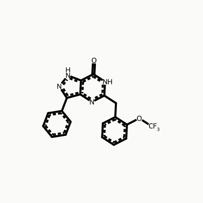 O=c1[nH]c(Cc2ccccc2OC(F)(F)F)nc2c(-c3ccccc3)n[nH]c12